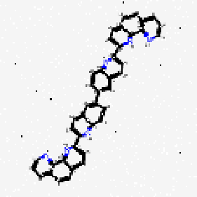 c1cnc2c(c1)ccc1ccc(-c3ccc4cc(-c5ccc6nc(-c7ccc8ccc9cccnc9c8n7)ccc6c5)ccc4n3)nc12